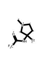 CCC1(NC(=O)C(F)(F)F)CCN(C)C1